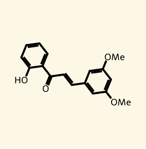 COc1cc(/C=C/C(=O)c2ccccc2O)cc(OC)c1